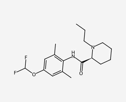 CCCN1CCCC[C@H]1C(=O)Nc1c(C)cc(OC(F)F)cc1C